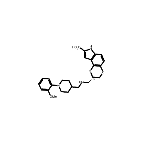 COc1ccccc1N1CCC(CNC[C@H]2COc3ccc4[nH]c(C(=O)O)cc4c3O2)CC1